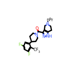 CCCN1CCc2[nH]nc(C(=O)N3CCC(c4cc(F)cc(F)c4C(F)(F)F)CC3)c2C1